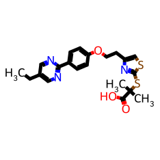 CCc1cnc(-c2ccc(OCCc3csc(SC(C)(C)C(=O)O)n3)cc2)nc1